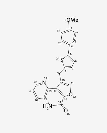 COc1ccc(-c2ccc(Cc3coc(C(N)=O)c3-c3ccccn3)s2)cc1